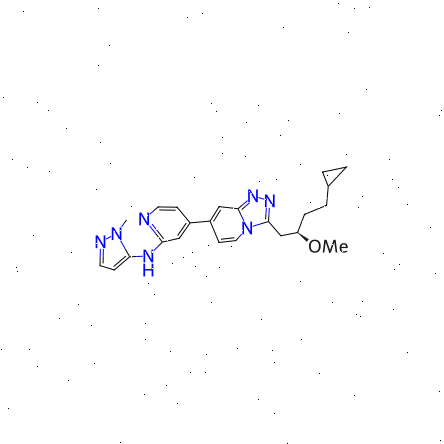 CO[C@H](CCC1CC1)Cc1nnc2cc(-c3ccnc(Nc4ccnn4C)c3)ccn12